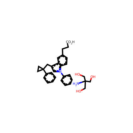 NC(CO)(CO)CO.O=C(O)CCc1ccc2c(c1)c(CC1(c3ccccc3)CC1)cn2-c1ccccc1